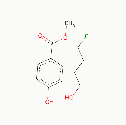 COC(=O)c1ccc(O)cc1.OCCCCCl